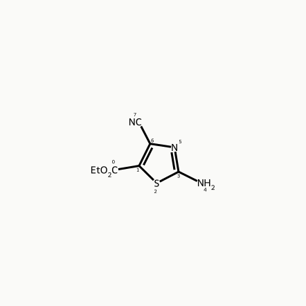 CCOC(=O)c1sc(N)nc1C#N